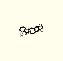 CC(C1CCCCN1)N1CCc2cc3c(cc2CC1=O)OCO3